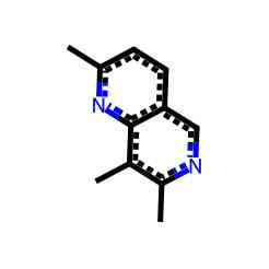 Cc1ccc2cnc(C)c(C)c2n1